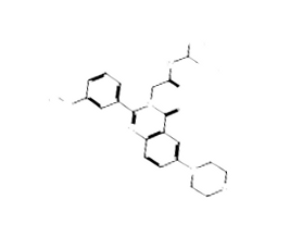 COc1cccc(-c2nc3ccc(N4CCNCC4)cc3c(=O)n2CC(=O)NC(C)C)c1